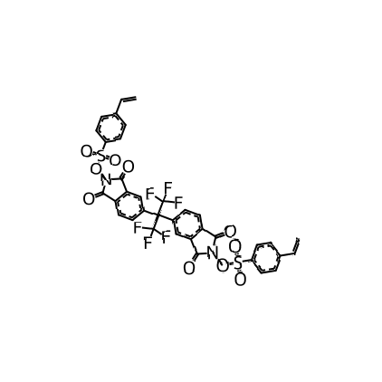 C=Cc1ccc(S(=O)(=O)ON2C(=O)c3ccc(C(c4ccc5c(c4)C(=O)N(OS(=O)(=O)c4ccc(C=C)cc4)C5=O)(C(F)(F)F)C(F)(F)F)cc3C2=O)cc1